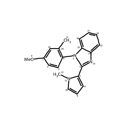 COc1ccc(-n2c(-c3cccn3C)nc3ccccc32)c(C)c1